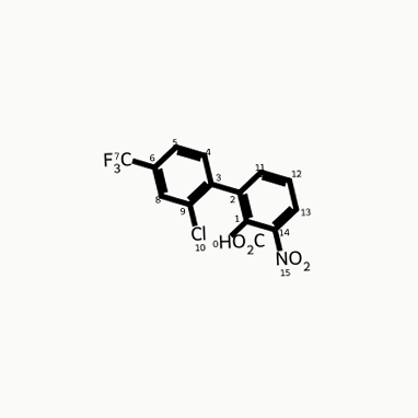 O=C(O)c1c(-c2ccc(C(F)(F)F)cc2Cl)[c]ccc1[N+](=O)[O-]